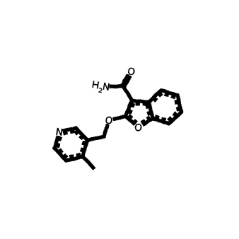 Cc1ccncc1COc1oc2ccccc2c1C(N)=O